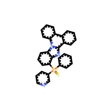 S=P(c1ccccc1)(c1cccnc1)c1cccc2c1nc1c3ccccc3c3ccccc3n21